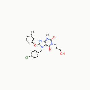 CCC1C=C(OC2Nc3c(c(=O)n(CCCO)c(=O)n3CC)N2Cc2ccc(Cl)cc2)C=CC1